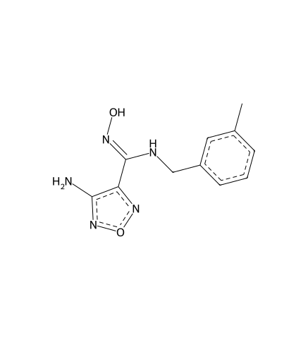 Cc1cccc(CN/C(=N\O)c2nonc2N)c1